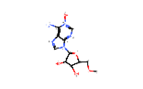 COCC1OC(n2cnc3c(N)[n+](O)cnc32)C(O)C1O